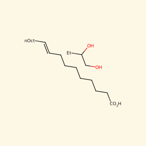 CCC(O)CO.CCCCCCCCC=CCCCCCCCC(=O)O